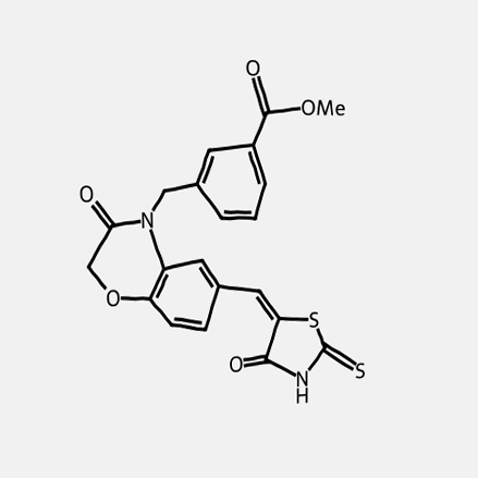 COC(=O)c1cccc(CN2C(=O)COc3ccc(/C=C4/SC(=S)NC4=O)cc32)c1